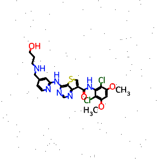 COc1cc(OC)c(Cl)c(NC(=O)c2csc3c(Nc4cc(CNCCCO)ccn4)ncnc23)c1Cl